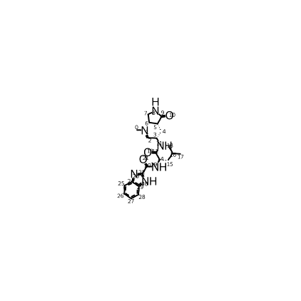 C/N=C/[C@H](C[C@@H]1CCNC1=O)NC(=O)[C@H](CC(C)C)NC(=O)c1nc2ccccc2[nH]1